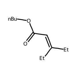 CCCCOC(=O)C=C(CC)CC